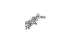 COC(=O)C(C)(C)NC(=O)Nc1cc(F)ccc1CN1C(=O)N(c2c(F)c(C)c(F)c(F)c2F)C(=O)C1(C)C